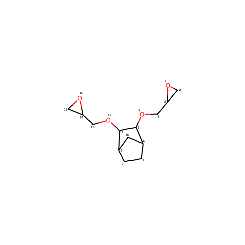 C1OC1COC1C2CCC(C2)C1OCC1CO1